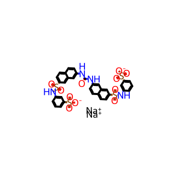 O=C(Nc1ccc2ccc(S(=O)(=O)Nc3cccc(S(=O)(=O)[O-])c3)cc2c1)Nc1ccc2ccc(S(=O)(=O)Nc3cccc(S(=O)(=O)[O-])c3)cc2c1.[Na+].[Na+]